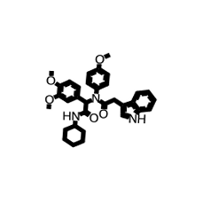 COc1ccc(N(C(=O)Cc2c[nH]c3ccccc23)C(C(=O)NC2CCCCC2)c2ccc(OC)c(OC)c2)cc1